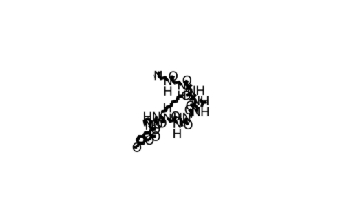 CCCCCCCC[C@H](NC(=O)[C@@H]1CCCN1C(=O)c1cc2ccc(OC)cc2oc1=O)C(=O)NCC(=O)NC(C)(C)C(=O)NCC(=O)N[C@@H](CC(C)C)C(=O)NC(C)(C)C(=O)NC(C)(C)C(=O)NCCC(=O)NCCN(C)C